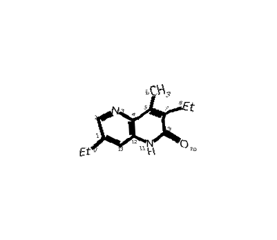 CCc1cnc2c(C)c(CC)c(=O)[nH]c2c1